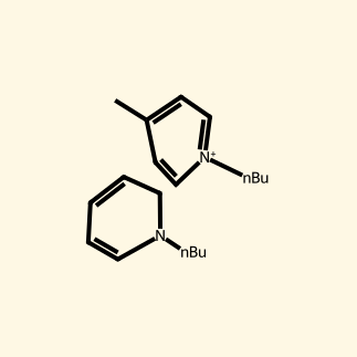 CCCCN1C=CC=CC1.CCCC[n+]1ccc(C)cc1